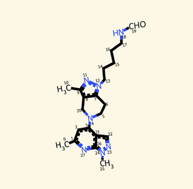 Cc1cc(N2CCc3c(c(C)nn3CCCCCNC=O)C2)c2cnn(C)c2n1